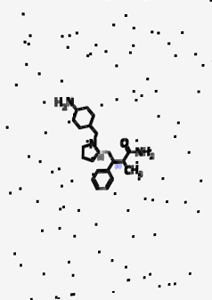 C/C(C(N)=O)=C(/C[C@@H]1CCCN1CC1CCC(N)CC1)c1ccccc1